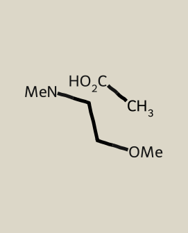 CC(=O)O.CNCCOC